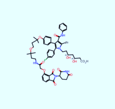 CC(C)c1c(C(=O)Nc2ccccc2)c(-c2ccc(OC(C)(C)CCOC(C)(C)CCNC(=O)COc3cccc4c3C(=O)N(C3CCC(=O)NC3=O)C4=O)cc2)c(-c2ccc(F)cc2)n1CC[C@@H](O)C[C@@H](O)CC(=O)O